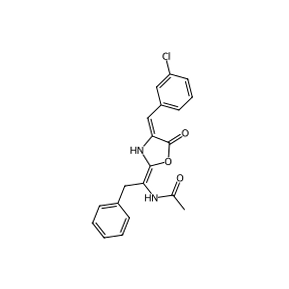 CC(=O)NC(Cc1ccccc1)=c1[nH]c(=Cc2cccc(Cl)c2)c(=O)o1